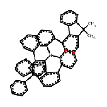 CC1(C)c2ccccc2-c2c(-c3ccccc3N(c3ccc(-c4ccccc4)cc3-c3ccccc3)c3ccccc3-c3cccc4c3sc3ccccc34)cccc21